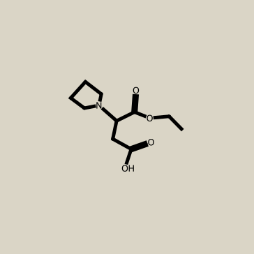 CCOC(=O)C(CC(=O)O)N1CCCC1